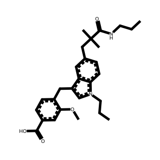 CCCNC(=O)C(C)(C)Cc1ccc2c(c1)c(Cc1ccc(C(=O)O)cc1OC)cn2CCC